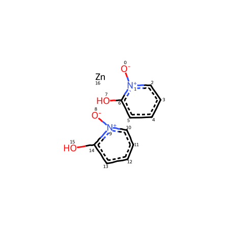 [O-][n+]1ccccc1O.[O-][n+]1ccccc1O.[Zn]